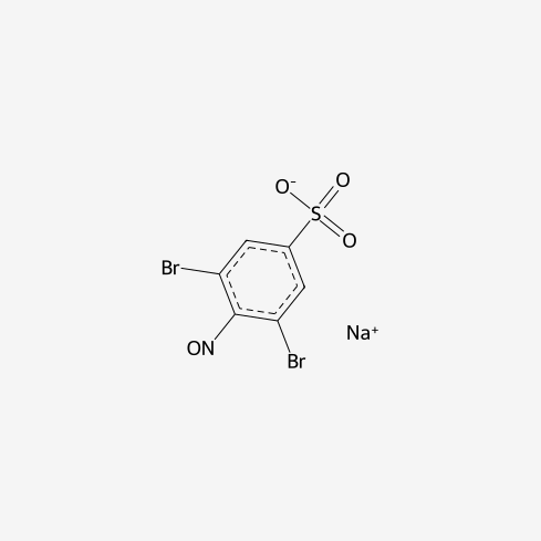 O=Nc1c(Br)cc(S(=O)(=O)[O-])cc1Br.[Na+]